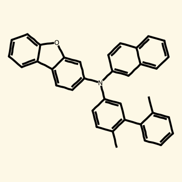 Cc1ccccc1-c1cc(N(c2ccc3ccccc3c2)c2ccc3c(c2)oc2ccccc23)ccc1C